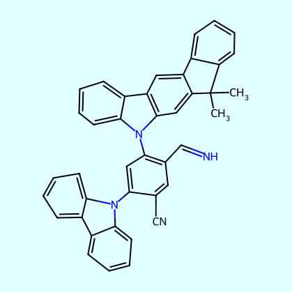 CC1(C)c2ccccc2-c2cc3c4ccccc4n(-c4cc(-n5c6ccccc6c6ccccc65)c(C#N)cc4C=N)c3cc21